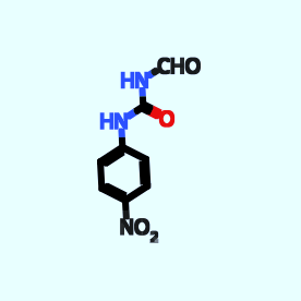 O=CNC(=O)Nc1ccc([N+](=O)[O-])cc1